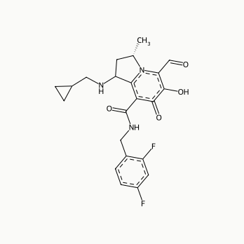 C[C@H]1CC(NCC2CC2)c2c(C(=O)NCc3ccc(F)cc3F)c(=O)c(O)c(C=O)n21